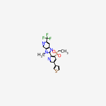 CCS(=O)(=O)c1cc(-c2ccsc2)cnc1-c1nc2cc(C(F)(F)F)ncc2n1C